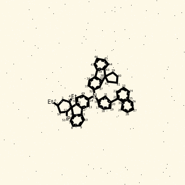 CCC1CC(CC)C2(c3ccccc3-c3cc(N(c4cccc(-c5cccc6ccccc56)c4)c4ccc5c(c4)C4(CCCC4)c4ccccc4-5)ccc32)C(C(C)C)C1